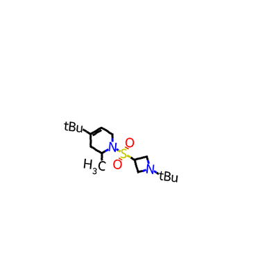 CC1CC(C(C)(C)C)=CCN1S(=O)(=O)C1CN(C(C)(C)C)C1